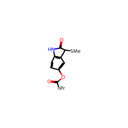 CCCC(=O)Oc1ccc2c(c1)C(SC)C(=O)N2